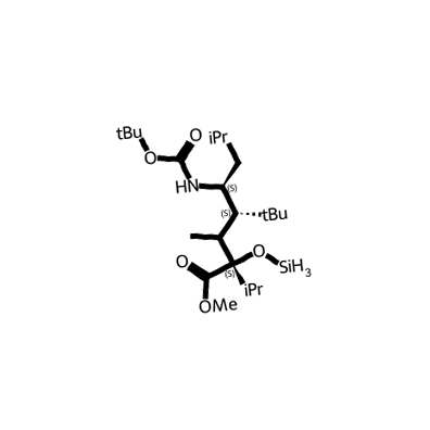 COC(=O)[C@](O[SiH3])(C(C)C)C(C)[C@H]([C@H](CC(C)C)NC(=O)OC(C)(C)C)C(C)(C)C